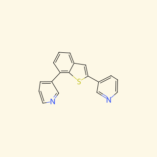 c1cncc(-c2cc3cccc(-c4cccnc4)c3s2)c1